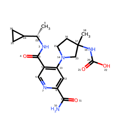 C[C@H](NC(=O)c1cnc(C(N)=O)cc1N1CCC(C)(NC(=O)O)C1)C1CC1